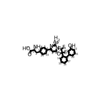 N[C@@H](Cc1ccc(-c2cc(OC(F)(c3ccccc3-c3cccc(O)c3)C(F)F)nc([AsH2])n2)cc1)C(=O)O